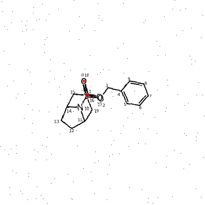 O=C(OCc1ccccc1)N1C2CCC1CS(=O)(=O)C2